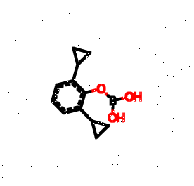 OB(O)Oc1c(C2CC2)cccc1C1CC1